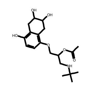 CC(=O)OC(CNC(C)(C)C)COc1ccc(O)c2c1CC(O)C(O)C2